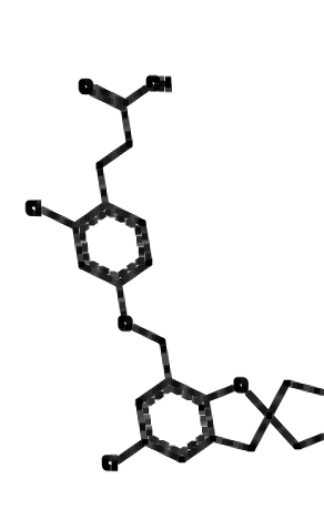 O=C(O)CCc1ccc(OCc2cc(Cl)cc3c2OC2(CCCC2)C3)cc1Cl